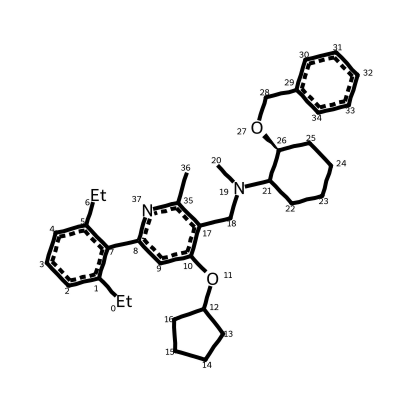 CCc1cccc(CC)c1-c1cc(OC2CCCC2)c(CN(C)C2CCCC[C@@H]2OCc2ccccc2)c(C)n1